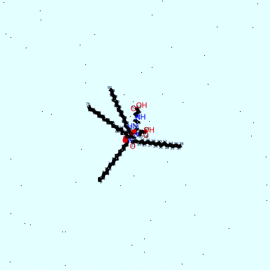 CCCCCCCCCCCCCCCCCC(=O)N(C(=O)CCCCCCCCCCCCCCCCC)C(CN(CCNCCNCCC(=O)O)CCC(=O)O)(C(=O)CCCCCCCCCCCCCCCCC)C(=O)CCCCCCCCCCCCCCCCC